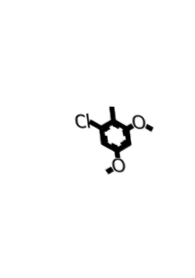 COc1cc(Cl)c(C)c(OC)c1